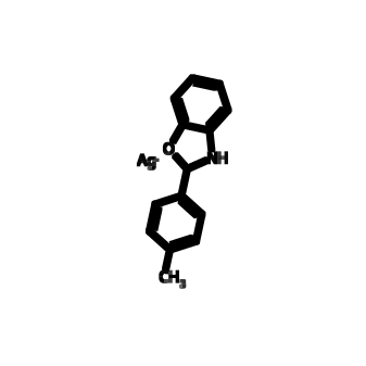 Cc1ccc(C2Nc3ccccc3O2)cc1.[Ag]